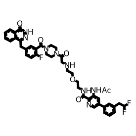 CC(=O)Nc1cc(-c2cccc(CC(F)F)c2)cnc1C(=O)NCCOCCNCC(=O)N1CCN(C(=O)c2cc(Cc3n[nH]c(=O)c4ccccc34)ccc2F)CC1